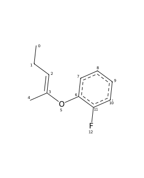 CCC=C(C)Oc1ccc[c]c1F